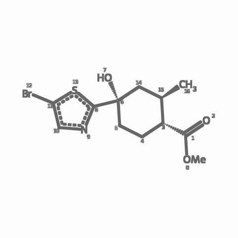 COC(=O)[C@@H]1CC[C@@](O)(c2ncc(Br)s2)C[C@H]1C